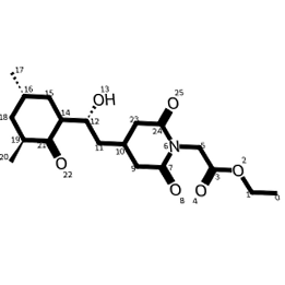 CCOC(=O)CN1C(=O)CC(C[C@@H](O)C2C[C@@H](C)C[C@H](C)C2=O)CC1=O